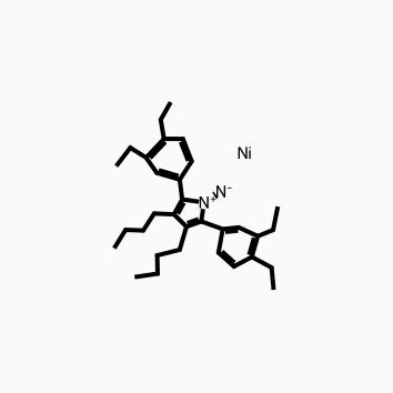 CCCCC1=C(c2ccc(CC)c(CC)c2)[N+](=[N-])C(c2ccc(CC)c(CC)c2)=C1CCCC.[Ni]